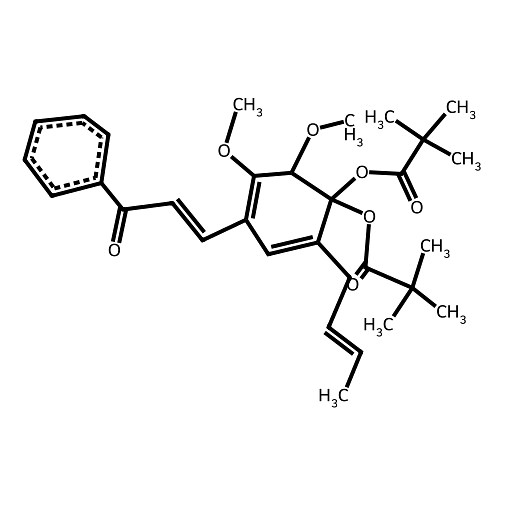 CC=CCC1=CC(C=CC(=O)c2ccccc2)=C(OC)C(OC)C1(OC(=O)C(C)(C)C)OC(=O)C(C)(C)C